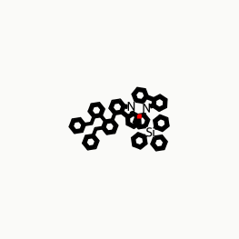 c1ccc(Cc2ccccc2-c2c(Cc3ccccc3)cccc2-c2cccc3c2c2ccccc2n3-c2cccc3c4ccccc4n(-c4cccc([Si](c5ccccc5)(c5ccccc5)c5ccccc5)c4)c23)cc1